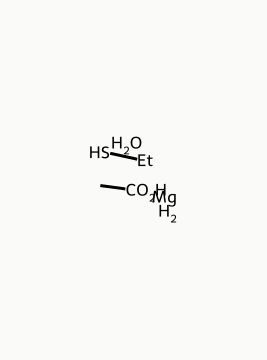 CC(=O)O.CCS.O.[MgH2]